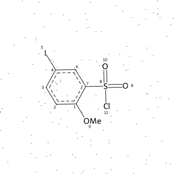 COc1ccc(I)cc1S(=O)(=O)Cl